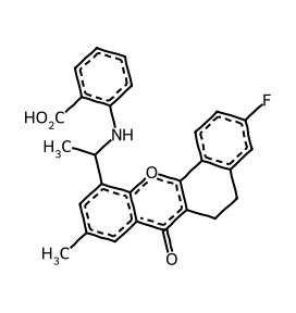 Cc1cc(C(C)Nc2ccccc2C(=O)O)c2oc3c(c(=O)c2c1)CCc1cc(F)ccc1-3